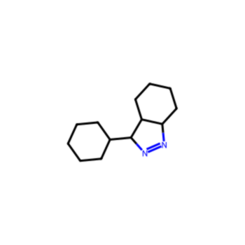 C1CCC(C2N=NC3CCCCC32)CC1